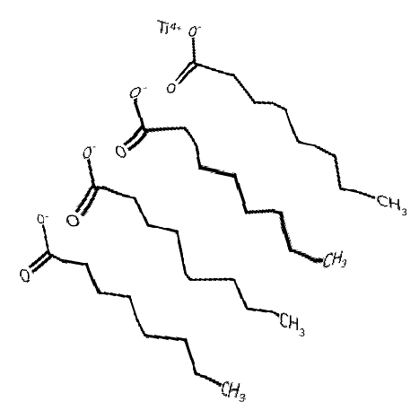 CCCCCCCC(=O)[O-].CCCCCCCC(=O)[O-].CCCCCCCC(=O)[O-].CCCCCCCC(=O)[O-].[Ti+4]